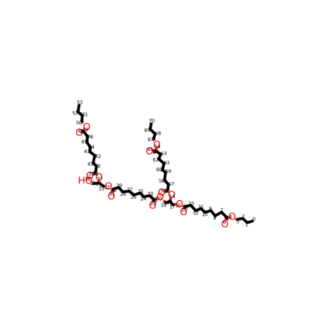 CCCCOC(=O)CCCCCCCC(=O)OCC(COC(=O)CCCCCCCC(=O)OCC(CO)OC(=O)CCCCCCCC(=O)OCCCC)OC(=O)CCCCCCCC(=O)OCCCC